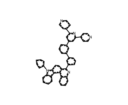 c1ccc(-n2c3ccccc3c3c4c(ccc32)c(-c2cccc(-c3cccc(-c5cc(-c6ccncc6)nc(-c6ccncc6)c5)c3)c2)nc2ccccc24)cc1